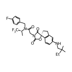 CCC(C)(C)CNc1ccc2c(c1)CC[C@@]21OC(=O)N(CC(=O)N(Cc2ccc(F)cc2)[C@@H](C)C(F)(F)F)C1=O